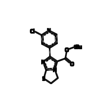 CC(C)(C)OC(=O)c1c(-c2ccnc(Cl)c2)nc2n1CCS2